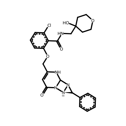 O=C(NCC1(O)CCOCC1)c1c(Cl)cccc1OCC1=CC(=O)N2C(N1)N1C(c3ccccc3)[N@@]21